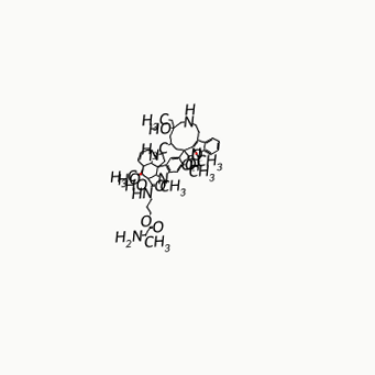 CCC1(O)CNCCc2c([nH]c3ccccc23)C(C(=O)OC)(c2cc3c(cc2OC)N(C)C2C34CCN3CC=C[C@](CC)(C34)[C@@H](O)[C@]2(O)C(=O)NCCCOC(=O)[C@@H](C)N)CC(C)C1